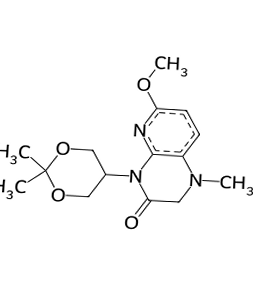 COc1ccc2c(n1)N(C1COC(C)(C)OC1)C(=O)CN2C